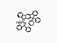 c1ccc2c(c#1)N(C1N=C(c3ccccc3)c3ccccc3N1)C1C=C3C(=CC21)c1ccccc1C3(C1=CC=CCC1)c1ccccc1